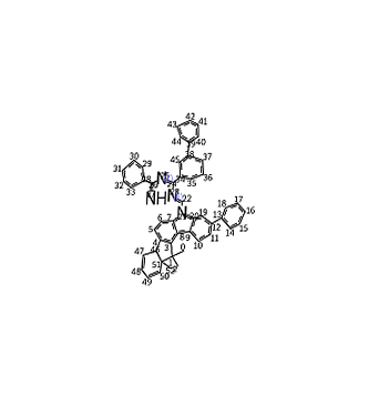 CC1(C)c2c(ccc3c2c2ccc(-c4ccccc4)cc2n3/C=N/C(=N\C(=N)c2ccccc2)c2cccc(-c3ccccc3)c2)C2C=CC=CC21C